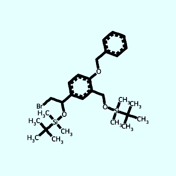 CC(C)(C)[Si](C)(C)OCc1cc(C(CBr)O[Si](C)(C)C(C)(C)C)ccc1OCc1ccccc1